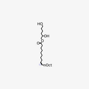 CCCCCCCC/C=C\CCCCCCCC(=O)OCC(O)CCCCO